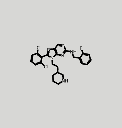 Fc1ccccc1CNc1ncc2nc(-c3c(Cl)cccc3Cl)n(CCC3CCCNC3)c2n1